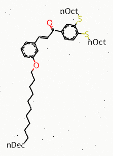 CCCCCCCCCCCCCCCCCCCCOc1cccc(C=CC(=O)c2ccc(SCCCCCCCC)c(SCCCCCCCC)c2)c1